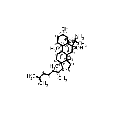 CC(C)CCC[C@@H](C)[C@H]1CC[C@H]2[C@@H]3C[C@@](O)(C(C)(C)N)[C@@]4(O)C[C@@H](O)CC[C@]4(C)[C@H]3CC[C@]12C